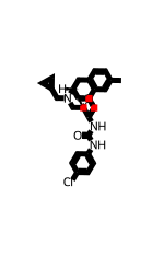 Cc1ccc2c(c1)[C@]13CCN(CC4CC4)[C@H](C2)[C@]12CCC(NC(=O)Nc1ccc(Cl)cc1)(CO2)C3